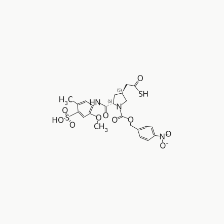 COc1cc(S(=O)(=O)O)c(C)cc1NC(=O)[C@@H]1C[C@@H](CC(=O)S)CN1C(=O)OCc1ccc([N+](=O)[O-])cc1